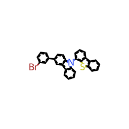 Brc1cccc(-c2ccc3c(c2)c2ccccc2n3-c2cccc3c2sc2ccccc23)c1